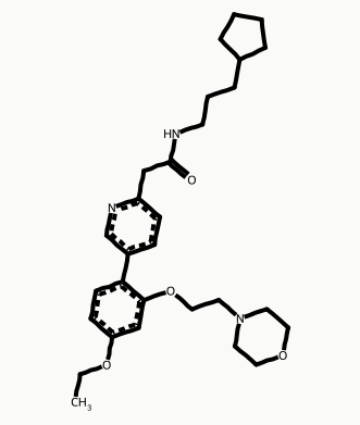 CCOc1ccc(-c2ccc(CC(=O)NCCCC3CCCC3)nc2)c(OCCN2CCOCC2)c1